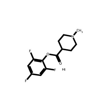 CN1CCC(C(=O)Oc2c(F)cc(F)cc2F)CC1.I